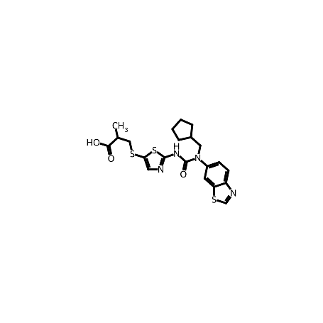 CC(CSc1cnc(NC(=O)N(CC2CCCC2)c2ccc3ncsc3c2)s1)C(=O)O